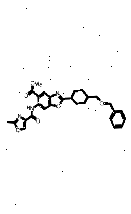 COC(=O)c1cc2nc(C3CCC(COCc4ccccc4)CC3)oc2cc1NC(=O)c1coc(C)n1